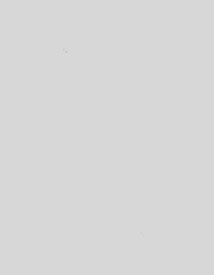 Cc1cc(-c2ccc(N)c(F)c2)c(C)cc1-c1ccc(N(C)C)cc1